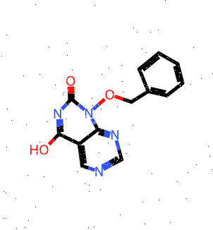 O=c1nc(O)c2cncnc2n1OCc1ccccc1